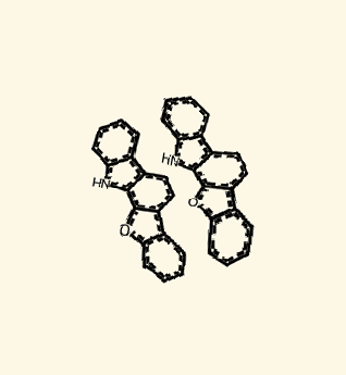 c1ccc2c(c1)[nH]c1c2ccc2c3ccccc3oc21.c1ccc2c(c1)[nH]c1c2ccc2c3ccccc3oc21